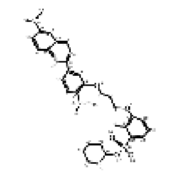 Cc1c(OCCCOc2cc(-c3ccc4cc(N(C)C)ccc4n3)ccc2N(C)C)cccc1S(=O)(=O)OC1CCCCO1